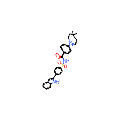 CC1(C)CCN(c2ccc(C(=O)NS(=O)(=O)c3ccc(-c4cc5ccccc5[nH]4)cc3)cc2)CC1